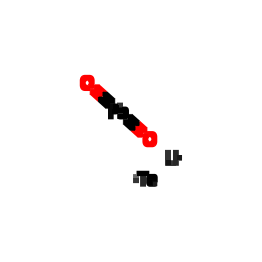 [Li].[O]=[Pb]=[O].[Te]